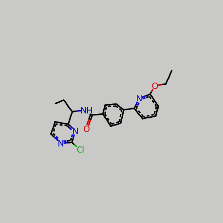 CCOc1cccc(-c2ccc(C(=O)NC(CC)c3ccnc(Cl)n3)cc2)n1